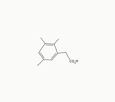 Cc1cc(C)c(C)c(CC(=O)O)c1